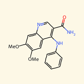 COc1cc2ncc(C(N)=O)c(Nc3ccccc3)c2cc1OC